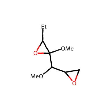 CCC1OC1(OC)C(OC)C1CO1